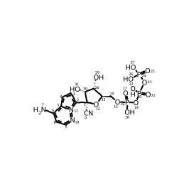 N#C[C@@]1(c2ccc3c(N)ccnn23)O[C@H](COP(=O)(O)OP(=O)(O)OP(=O)(O)O)[C@@H](O)[C@H]1O